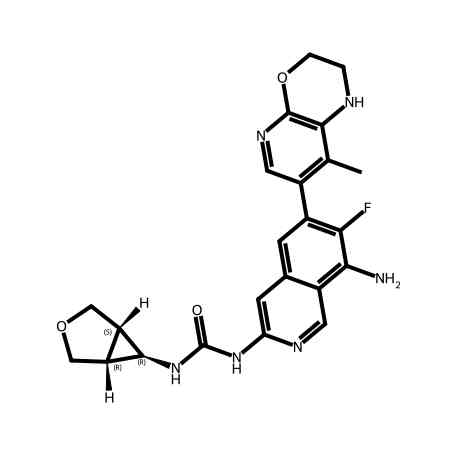 Cc1c(-c2cc3cc(NC(=O)N[C@H]4[C@@H]5COC[C@@H]54)ncc3c(N)c2F)cnc2c1NCCO2